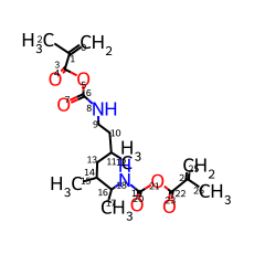 C=C(C)C(=O)OC(=O)NCCC(C)CC(C)C(C)NC(=O)OC(=O)C(=C)C